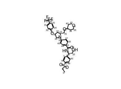 CCS(=O)(=O)c1ccc([C@H](CO)NC(=O)c2ccc(N3C[C@H](Oc4ccc(C(F)(F)F)cc4)C[C@H]3COC3CCOCC3)cc2)cc1